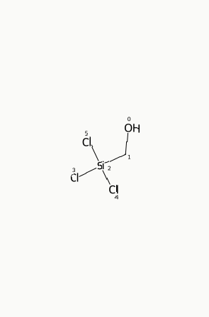 OC[Si](Cl)(Cl)Cl